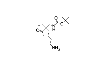 CCC(CCCCN)(CNC(=O)OC(C)(C)C)C(C)=O